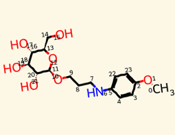 COc1ccc(NCCCO[C@@H]2O[C@H](CO)[C@@H](O)[C@H](O)[C@H]2O)cc1